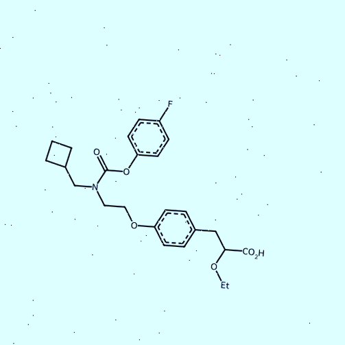 CCOC(Cc1ccc(OCCN(CC2CCC2)C(=O)Oc2ccc(F)cc2)cc1)C(=O)O